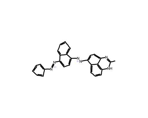 CC1=Nc2ccc(/N=N/c3ccc(/N=N/c4ccccc4)c4ccccc34)c3cccc(c23)N1